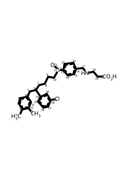 Cc1ccc(CC(CCCC[S+]([O-])c2ccc(CNCCC(=O)O)cc2)c2cccc(Cl)c2)cc1C